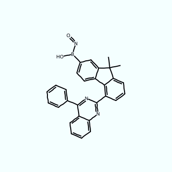 CC1(C)c2cc(B(O)N=O)ccc2-c2c(-c3nc(-c4ccccc4)c4ccccc4n3)cccc21